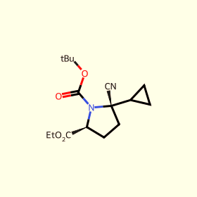 CCOC(=O)[C@@H]1CC[C@@](C#N)(C2CC2)N1C(=O)OC(C)(C)C